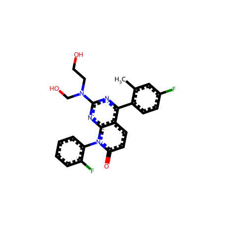 Cc1cc(F)ccc1-c1nc(N(CO)CCO)nc2c1ccc(=O)n2-c1ccccc1F